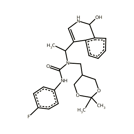 CC(C1=CNC(O)c2ccccc21)N(CC1COC(C)(C)OC1)C(=O)Nc1ccc(F)cc1